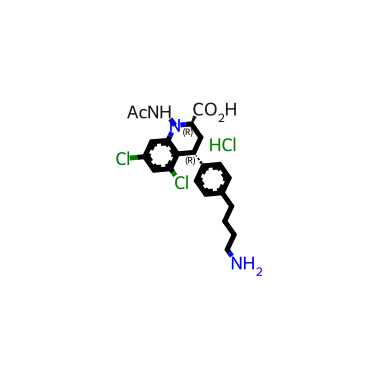 CC(=O)NN1c2cc(Cl)cc(Cl)c2[C@@H](c2ccc(CCCCN)cc2)C[C@@H]1C(=O)O.Cl